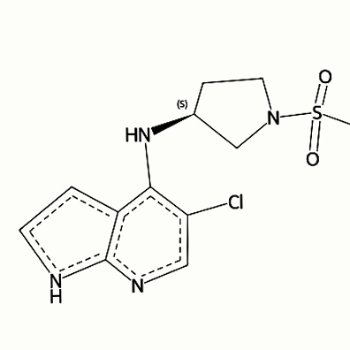 CS(=O)(=O)N1CC[C@H](Nc2c(Cl)cnc3[nH]ccc23)C1